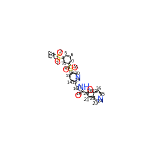 CCS(=O)(=O)c1cccc(S(=O)(=O)c2ccc(CNC(=O)c3cc4cnccc4o3)nc2)c1